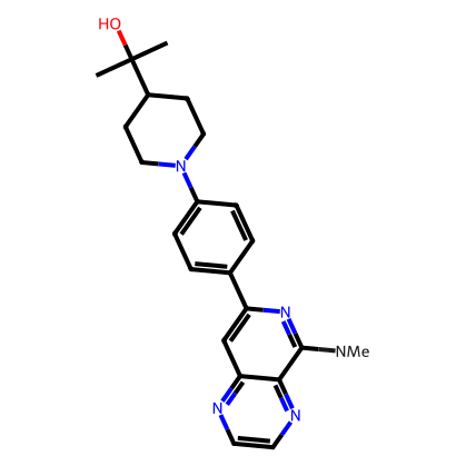 CNc1nc(-c2ccc(N3CCC(C(C)(C)O)CC3)cc2)cc2nccnc12